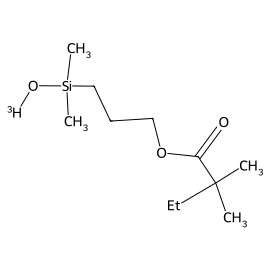 [3H]O[Si](C)(C)CCCOC(=O)C(C)(C)CC